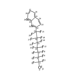 FC(F)(F)C(F)(F)C(F)(F)C(F)(F)C(F)(F)C(F)(F)C(F)(F)C(F)(F)c1ccc2cccnc2n1